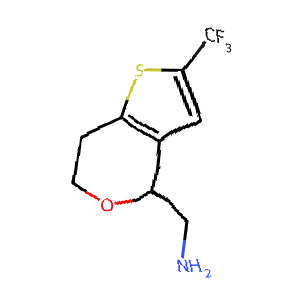 NCC1OCCc2sc(C(F)(F)F)cc21